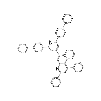 c1ccc(-c2ccc(-c3cc(-c4cc5nc(-c6ccccc6)cc(-c6ccccc6)c5c5ccccc45)cc(-c4ccc(-c5ccccc5)cc4)n3)cc2)cc1